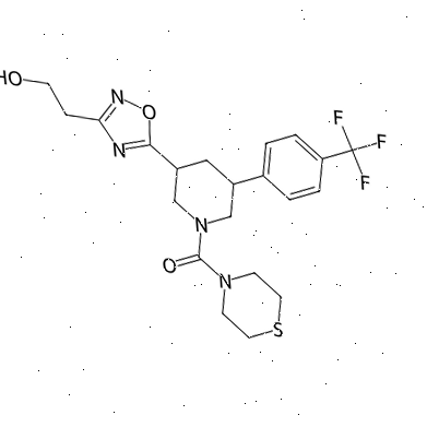 O=C(N1CCSCC1)N1CC(c2ccc(C(F)(F)F)cc2)CC(c2nc(CCO)no2)C1